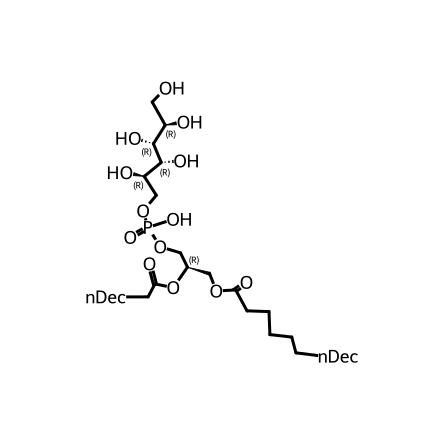 CCCCCCCCCCCCCCCC(=O)OC[C@H](COP(=O)(O)OC[C@@H](O)[C@@H](O)[C@H](O)[C@H](O)CO)OC(=O)CCCCCCCCCCC